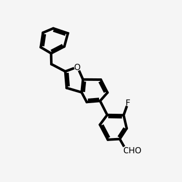 O=Cc1ccc(-c2ccc3oc(Cc4ccccc4)cc3c2)c(F)c1